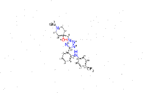 CC(C)(C)N1CCC(O)(Cn2nnc(-c3ccccc3Nc3ccc(C(F)(F)F)cc3)n2)CC1